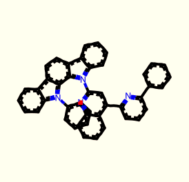 c1ccc(-c2cccc(-c3cc(-n4c5ccccc5c5ccc6c7ccccc7n(-c7ccccc7)c6c54)nc4ccccc34)n2)cc1